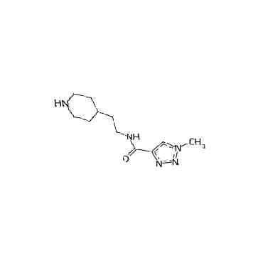 Cn1cc(C(=O)NCCC2CCNCC2)nn1